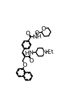 CCN1CCC(NC(=O)C(=Cc2ccc(C(=O)NOC3CCCCO3)cc2)COc2cccc3ccccc23)CC1